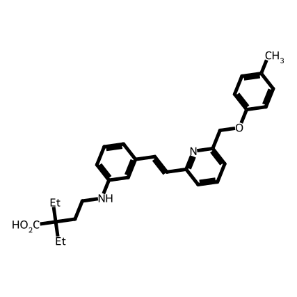 CCC(CC)(CCNc1cccc(C=Cc2cccc(COc3ccc(C)cc3)n2)c1)C(=O)O